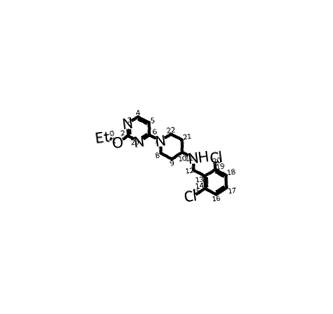 CCOc1nccc(N2CCC(NCc3c(Cl)cccc3Cl)CC2)n1